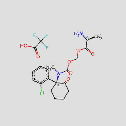 C[C@H](N)C(=O)OCOC(=O)N(C)[C@]1(c2ccccc2Cl)CCCCC1=O.O=C(O)C(F)(F)F